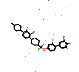 CC1CCC(c2ccc(C3CCC(C(F)(F)Oc4ccc(-c5cc(F)c(F)c(F)c5)c(F)c4)CC3)c(F)c2F)CC1